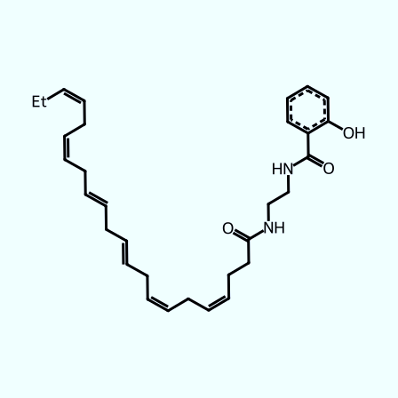 CC/C=C\C/C=C\CC=CCC=CC/C=C\C/C=C\CCC(=O)NCCNC(=O)c1ccccc1O